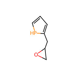 c1c[pH]c(CC2CO2)c1